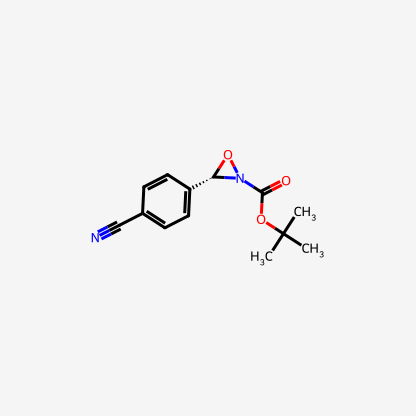 CC(C)(C)OC(=O)N1O[C@H]1c1ccc(C#N)cc1